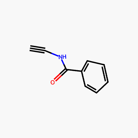 C#CNC(=O)c1ccccc1